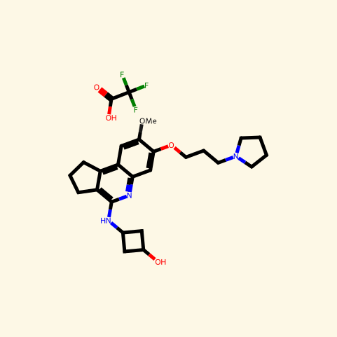 COc1cc2c3c(c(NC4CC(O)C4)nc2cc1OCCCN1CCCC1)CCC3.O=C(O)C(F)(F)F